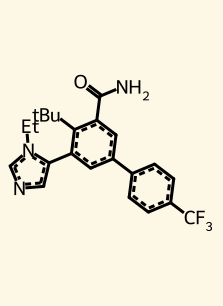 CCn1cncc1-c1cc(-c2ccc(C(F)(F)F)cc2)cc(C(N)=O)c1C(C)(C)C